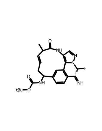 CC1/C=C/CC(NC(=O)OC(C)(C)C)c2ccc(C=N)c(c2)-c2c(cnn2C(F)F)NC1=O